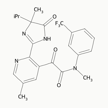 Cc1cnc(C2=NC(C)(C(C)C)C(=O)N2)c(C(=O)C(=O)N(C)c2cccc(C(F)(F)F)c2)c1